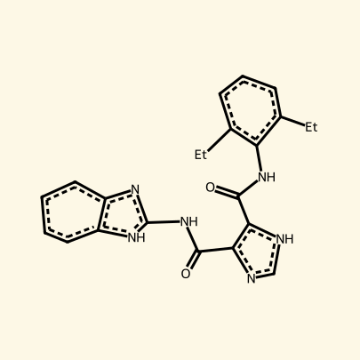 CCc1cccc(CC)c1NC(=O)c1[nH]cnc1C(=O)Nc1nc2ccccc2[nH]1